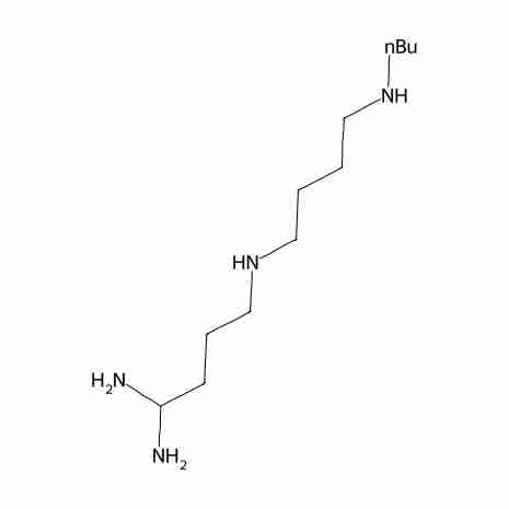 CCCCNCCCCNCCCC(N)N